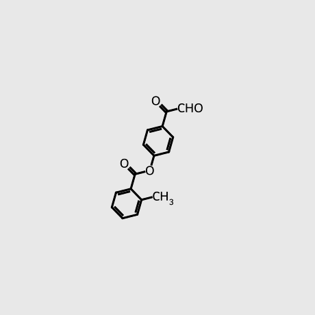 Cc1ccccc1C(=O)Oc1ccc(C(=O)C=O)cc1